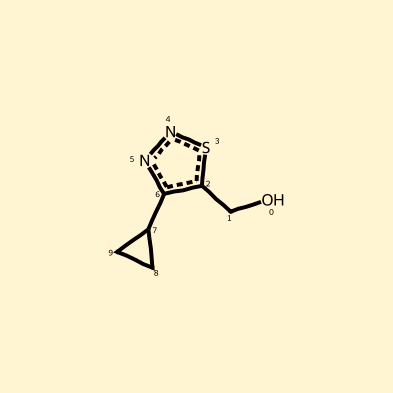 OCc1snnc1C1CC1